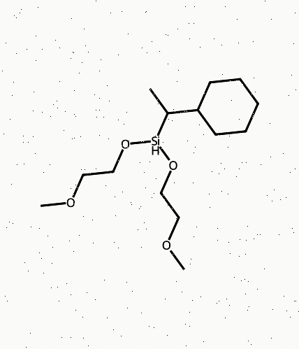 COCCO[SiH](OCCOC)C(C)C1CCCCC1